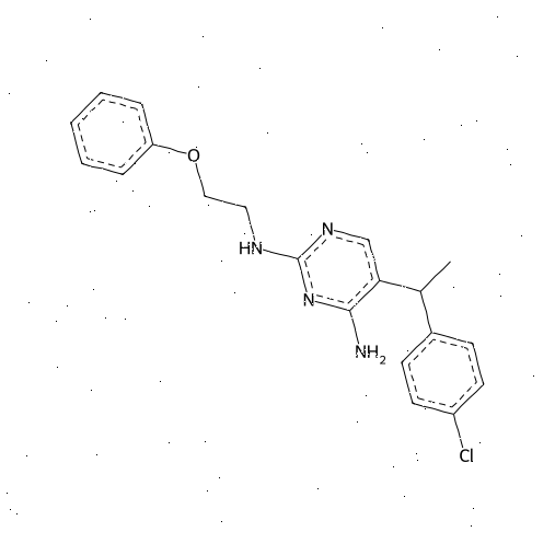 CC(c1ccc(Cl)cc1)c1cnc(NCCOc2ccccc2)nc1N